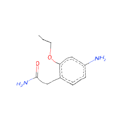 CCOc1cc(N)ccc1CC(N)=O